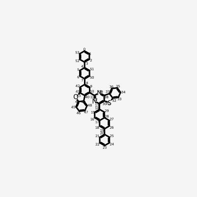 c1ccc(-c2ccc(-c3cc(-c4nc(-c5ccc6cc(-c7ccccc7)ccc6c5)c5sc6ccccc6c5n4)c4c(c3)oc3ccccc34)cc2)cc1